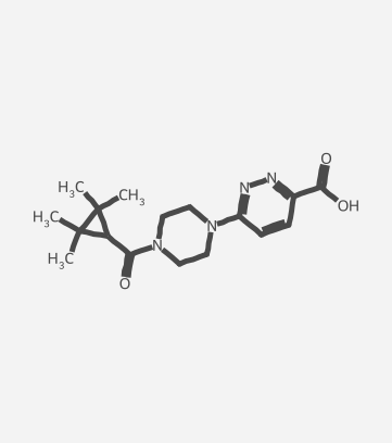 CC1(C)C(C(=O)N2CCN(c3ccc(C(=O)O)nn3)CC2)C1(C)C